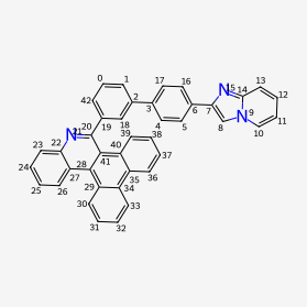 c1cc(-c2ccc(-c3cn4ccccc4n3)cc2)cc(-c2nc3ccccc3c3c4ccccc4c4ccccc4c23)c1